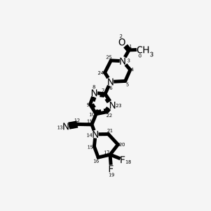 CC(=O)N1CCN(c2ncc(C(C#N)N3CCC(F)(F)CC3)cn2)CC1